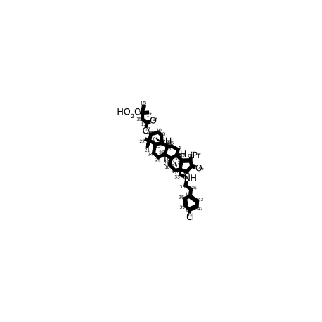 CC(C)C1=C2[C@H]3CC[C@@H]4[C@@]5(C)CC[C@H](OC(=O)CC(C)(C)C(=O)O)C(C)(C)C5CC[C@@]4(C)[C@]3(C)CC[C@@]2(CNCCc2ccc(Cl)cc2)CC1=O